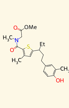 CCC(CCc1ccc(O)c(C)c1)c1cc(C)c(C(=O)N(C)CC(=O)OC)s1